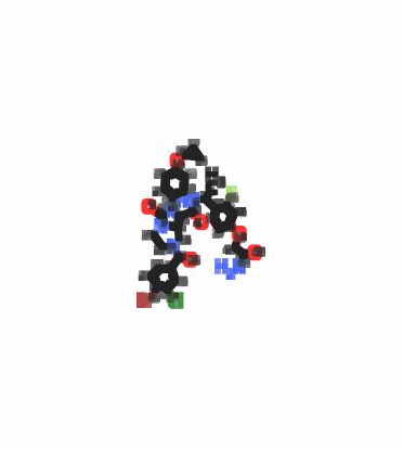 CC(NC(=O)c1c2n(c(=O)n1-c1ccc(OC3CC3)cc1)CCN(C(=O)c1ccc(Br)c(Cl)c1)C2)c1ccc(OCC(N)=O)cc1F